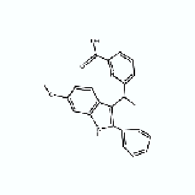 COc1ccc2c(C(C)c3cccc(C(=O)O)n3)c(-c3ccccc3)[nH]c2c1